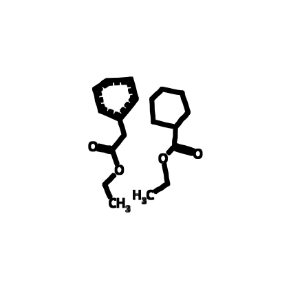 CCOC(=O)C1CCCCC1.CCOC(=O)Cc1ccccc1